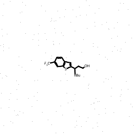 CCCCC(CCO)c1cc2ccc(C(F)(F)F)cc2s1